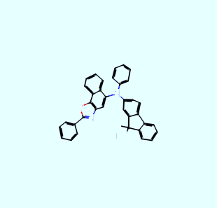 CC1(C)c2ccccc2-c2ccc(N(c3ccccc3)c3cc4nc(-c5ccccc5)oc4c4ccccc34)cc21